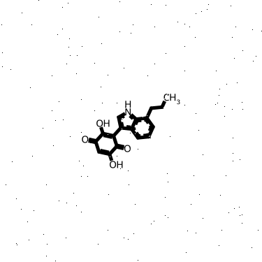 CCCc1cccc2c(C3=C(O)C(=O)C=C(O)C3=O)c[nH]c12